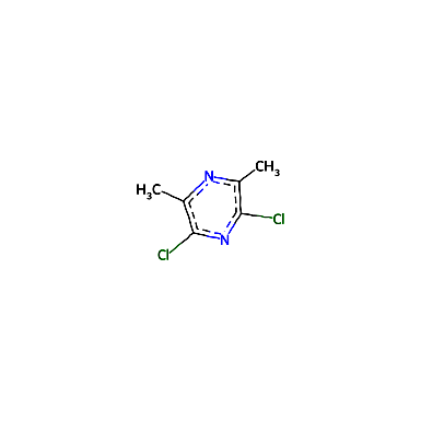 Cc1nc(C)c(Cl)nc1Cl